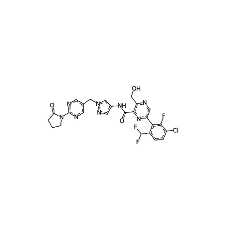 O=C(Nc1cnn(Cc2cnc(N3CCCC3=O)nc2)c1)c1nc(-c2c(C(F)F)ccc(Cl)c2F)cnc1CO